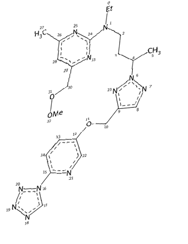 CCN(CCC(C)n1ncc(COc2ccc(-n3cnnn3)nc2)n1)c1nc(C)cc(COOC)n1